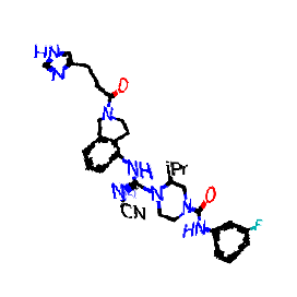 CC(C)C1CN(C(=O)Nc2cccc(F)c2)CCN1/C(=N\C#N)Nc1cccc2c1CCN(C(=O)CCc1c[nH]cn1)C2